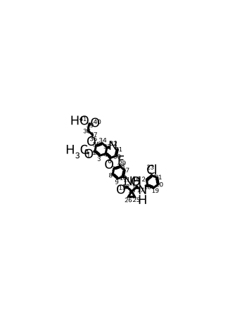 COc1cc2c(Oc3ccc(NC(=O)C4(C(=O)Nc5cccc(Cl)c5)CC4)cc3F)ccnc2cc1OCCC(=O)O